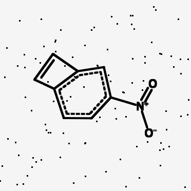 O=[N+]([O-])c1ccc2c(c1)C=C2